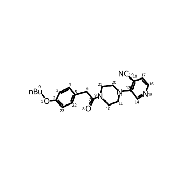 CCCCOc1ccc(CC(=O)N2CCN(c3cnccc3C#N)CC2)cc1